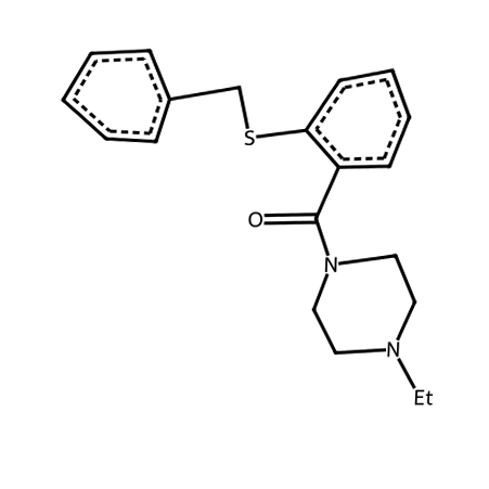 CCN1CCN(C(=O)c2ccccc2SCc2ccccc2)CC1